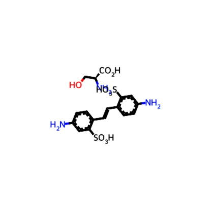 N[C@@H](CO)C(=O)O.Nc1ccc(C=Cc2ccc(N)cc2S(=O)(=O)O)c(S(=O)(=O)O)c1